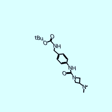 CN(C)C1CN(C(=O)Nc2ccc(CNC(=O)OC(C)(C)C)cc2)C1